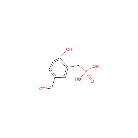 O=Cc1ccc(O)c(CP(=O)(O)O)c1